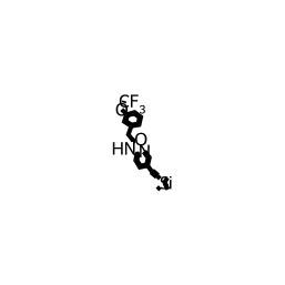 C[Si](C)(C)C#Cc1ccc(NC(=O)Cc2cccc(OC(F)(F)F)c2)nc1